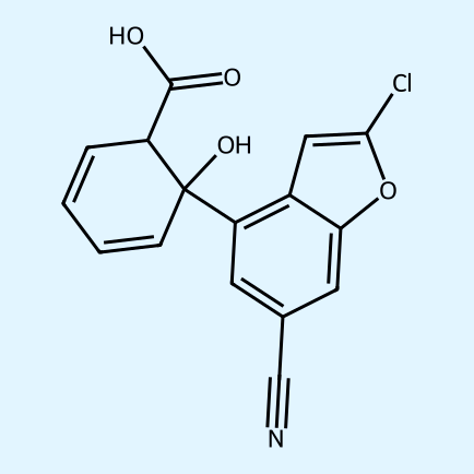 N#Cc1cc(C2(O)C=CC=CC2C(=O)O)c2cc(Cl)oc2c1